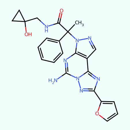 CC(C(=O)NCC1(O)CC1)(c1ccccc1)n1ncc2c1nc(N)n1nc(-c3ccco3)nc21